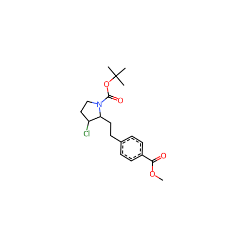 COC(=O)c1ccc(CCC2C(Cl)CCN2C(=O)OC(C)(C)C)cc1